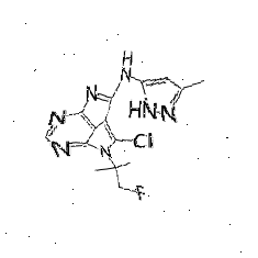 Cc1cc(NC2=Nc3ncnc4c3c2c(Cl)n4C(C)(C)CF)[nH]n1